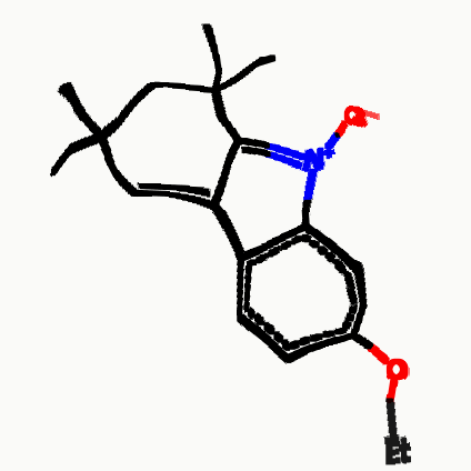 CCOc1ccc2c(c1)[N+]([O-])=C1C2=CC(C)(C)CC1(C)C